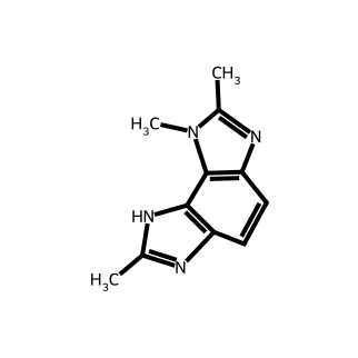 Cc1nc2ccc3nc(C)n(C)c3c2[nH]1